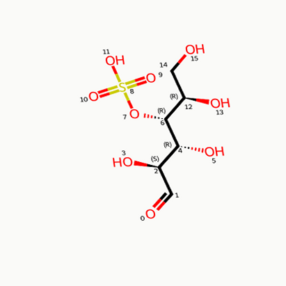 O=C[C@@H](O)[C@@H](O)[C@H](OS(=O)(=O)O)[C@H](O)CO